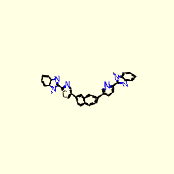 CN1C(c2ccc(-c3ccc4ccc(-c5ccc(-c6nc7ccccc7n6C)nc5)cc4c3)cn2)=NC2C=CC=CC21